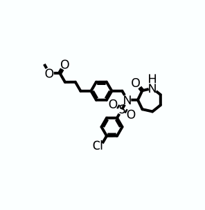 COC(=O)CCCc1ccc(CN(C2CCCCNC2=O)S(=O)(=O)c2ccc(Cl)cc2)cc1